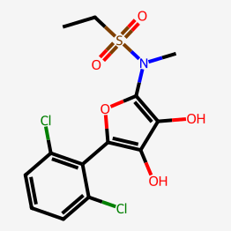 CCS(=O)(=O)N(C)c1oc(-c2c(Cl)cccc2Cl)c(O)c1O